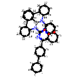 c1ccc(-c2ccc(-c3nc(N4B5c6c(cccc6-c6ccccc64)-c4ccccc4N5c4ccccc4)nc4ccccc34)cc2)cc1